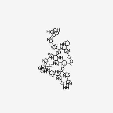 CC(O[C@H]1C[C@@H](n2cc(NC(=O)c3csc(-c4cnn(COP(=O)(O)O)c4)n3)c(-c3ccccn3)n2)C1)c1ccc(-c2nn([C@H]3C[C@@H](OC(C)c4ccc(-c5nn([C@H]6C[C@@H](N(C)C)C6)cc5NC(=O)c5csc(-c6cn[nH]c6)n5)nc4)C3)cc2NC(=O)c2csc(-c3cnn(COP(=O)(O)O)c3)n2)nc1